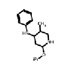 CC(C)OC1CC(Nc2ccccc2)C(C)CN1